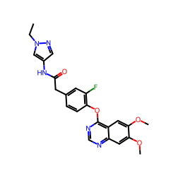 CCn1cc(NC(=O)Cc2ccc(Oc3ncnc4cc(OC)c(OC)cc34)c(F)c2)cn1